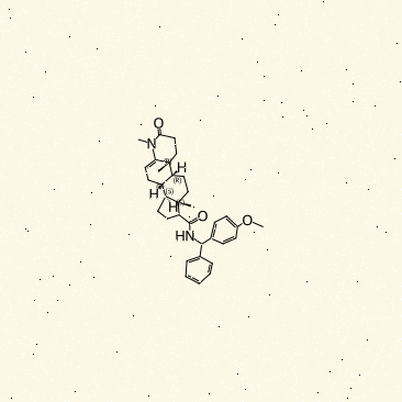 COc1ccc(C(NC(=O)C2CC[C@H]3[C@@H]4CC=C5N(C)C(=O)CC[C@]5(C)[C@@H]4CC[C@]23C)c2ccccc2)cc1